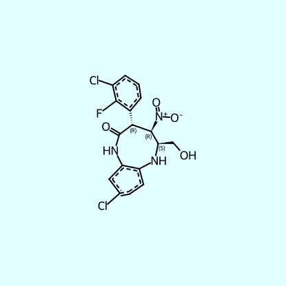 O=C1Nc2cc(Cl)ccc2N[C@H](CO)[C@H]([N+](=O)[O-])[C@H]1c1cccc(Cl)c1F